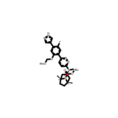 COCOc1cc(-c2cn[nH]c2)c(F)cc1-c1ccc(N(C)[C@H]2C[C@]3(C)CC[C@](C)(C2)N3C(=O)OC(C)(C)C)nn1